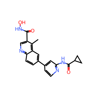 Cc1c(C(=O)NO)cnc2ccc(-c3ccnc(NC(=O)C4CC4)c3)cc12